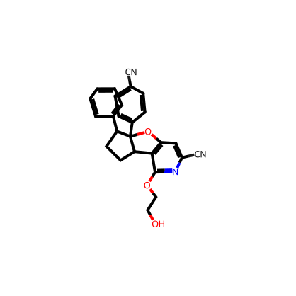 N#Cc1ccc(C23Oc4cc(C#N)nc(OCCO)c4C2CCC3c2ccccc2)cc1